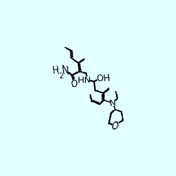 C/C=C\C(=C(\C)CC(O)NC/C(C(N)=O)=C(C)/C=C/C)N(CC)C1CCOCC1